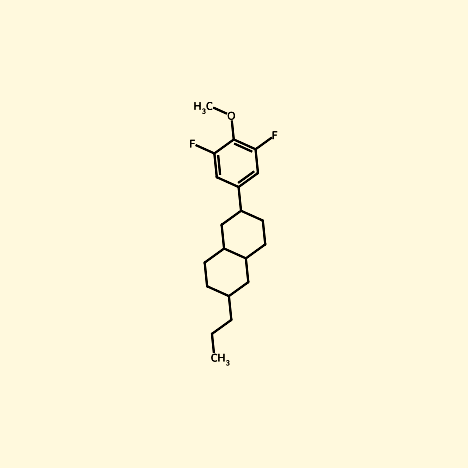 CCCC1CCC2CC(c3cc(F)c(OC)c(F)c3)CCC2C1